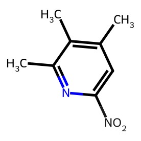 Cc1cc([N+](=O)[O-])nc(C)c1C